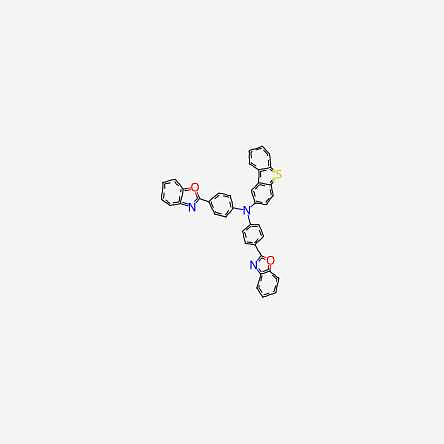 c1ccc2oc(-c3ccc(N(c4ccc(-c5nc6ccccc6o5)cc4)c4ccc5sc6ccccc6c5c4)cc3)nc2c1